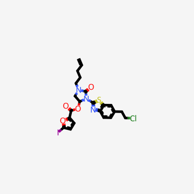 C=CCCCN1CC(OC(=O)c2ccc(I)o2)N(c2nc3ccc(CCCl)cc3s2)C1=O